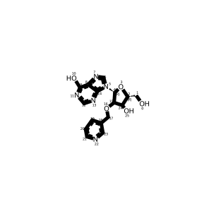 OC[C@H]1O[C@@H](n2cnc3c(O)ncnc32)C(OCc2cccnc2)C1O